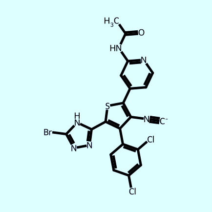 [C-]#[N+]c1c(-c2ccnc(NC(C)=O)c2)sc(-c2nnc(Br)[nH]2)c1-c1ccc(Cl)cc1Cl